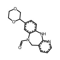 O=CN1Cc2cccnc2Nc2ccc(C3COCCO3)cc21